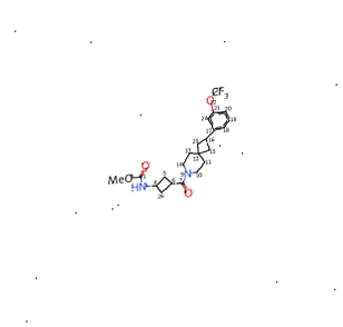 COC(=O)NC1CC(C(=O)N2CCC3(CC2)CC(c2cccc(OC(F)(F)F)c2)C3)C1